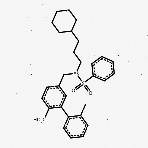 Cc1ccccc1-c1cc(C[As](CCCC2CCCCC2)S(=O)(=O)c2ccccc2)ccc1C(=O)O